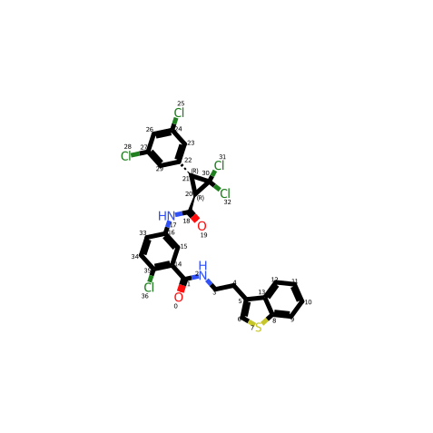 O=C(NCCc1csc2ccccc12)c1cc(NC(=O)[C@H]2[C@H](c3cc(Cl)cc(Cl)c3)C2(Cl)Cl)ccc1Cl